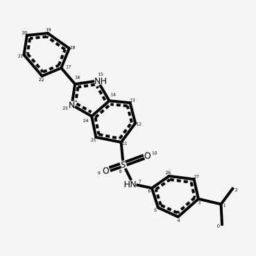 CC(C)c1ccc(NS(=O)(=O)c2ccc3[nH]c(-c4ccccc4)nc3c2)cc1